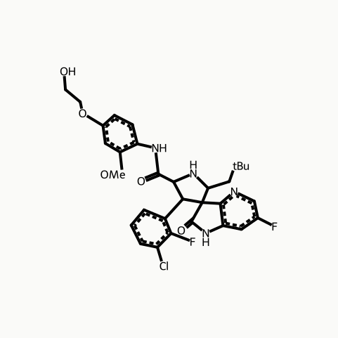 COc1cc(OCCO)ccc1NC(=O)C1NC(CC(C)(C)C)C2(C(=O)Nc3cc(F)cnc32)C1c1cccc(Cl)c1F